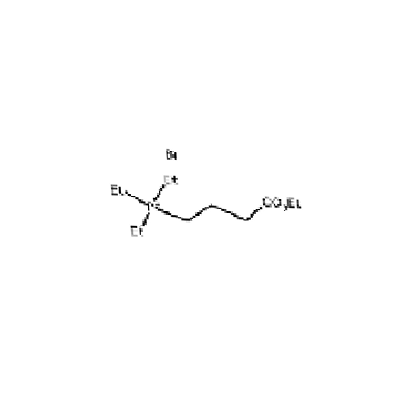 CCOC(=O)CCC[P+](CC)(CC)CC.[Br-]